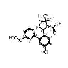 COc1ccnc(-c2cc(Cl)ccc2C2COC(C)(C)N2C(=O)O)n1